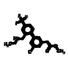 CCNCc1cc(C(F)(F)F)ccc1-c1cc(Cl)cc(CC(=O)OC)c1